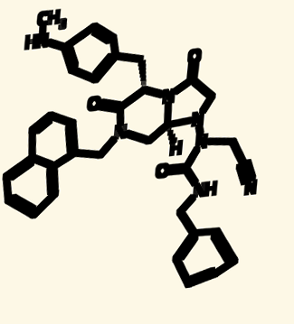 CNc1ccc(C[C@H]2C(=O)N(Cc3cccc4ccccc34)C[C@H]3N2C(=O)CN3N(CC#N)C(=O)NCc2ccccc2)cc1